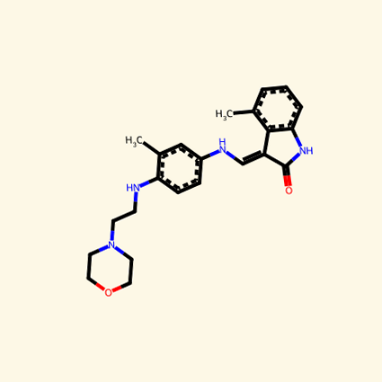 Cc1cc(N/C=C2/C(=O)Nc3cccc(C)c32)ccc1NCCN1CCOCC1